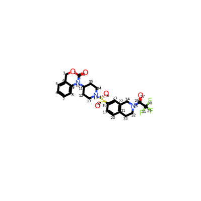 O=C1OCc2ccccc2N1C1CCN(S(=O)(=O)c2ccc3c(c2)CN(C(=O)C(F)(F)F)CC3)CC1